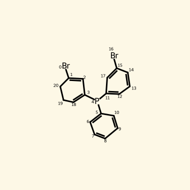 BrC1=CC(P(c2ccccc2)c2cccc(Br)c2)=CCC1